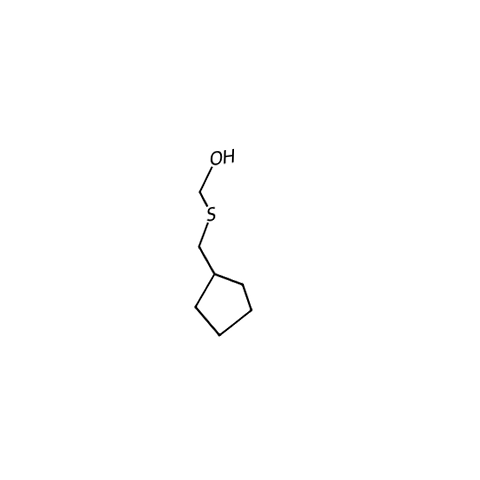 OCSCC1CCCC1